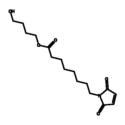 O=C(CCCCCCCN1C(=O)C=CC1=O)OCCCCO